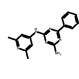 Cc1cc(Nc2nc(N)nc(-c3ccccc3)n2)cc(C)n1